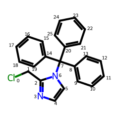 ClCc1nccn1C(c1ccccc1)(c1ccccc1)c1ccccc1